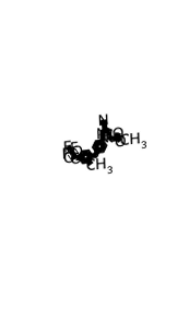 COC(=O)CC1CC(C#N)=NN1c1ccc(Cc2ccc(OS(=O)(=O)C(F)(F)F)cc2C)cc1